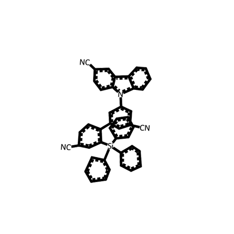 N#Cc1cc(-c2ccc(C#N)cc2[Si](c2ccccc2)(c2ccccc2)c2ccccc2)cc(-n2c3ccccc3c3cc(C#N)ccc32)c1